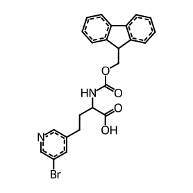 O=C(NC(CCc1cncc(Br)c1)C(=O)O)OCC1c2ccccc2-c2ccccc21